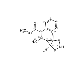 COC(=O)C(c1ccccc1)N(C)C1[C@H]2CNC[C@@H]12